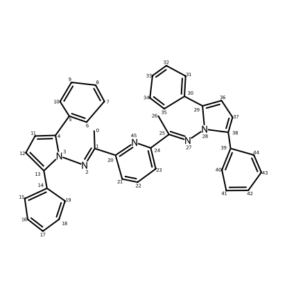 C/C(=N\n1c(-c2ccccc2)ccc1-c1ccccc1)c1cccc(/C(C)=N/n2c(-c3ccccc3)ccc2-c2ccccc2)n1